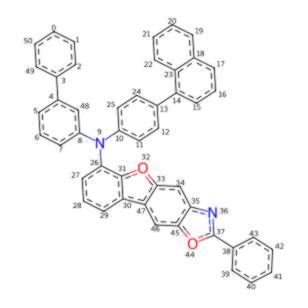 c1ccc(-c2cccc(N(c3ccc(-c4cccc5ccccc45)cc3)c3cccc4c3oc3cc5nc(-c6ccccc6)oc5cc34)c2)cc1